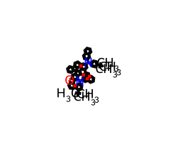 CC(C)(C)c1ccc(N(c2ccc3ccccc3c2)c2ccc3c4c(c5ccccc5c3c2)-c2c(cc3oc5ccccc5c3c2N(c2ccc(C(C)(C)C)cc2)c2ccc3ccccc3c2)C4(c2ccccc2)c2ccccc2)cc1